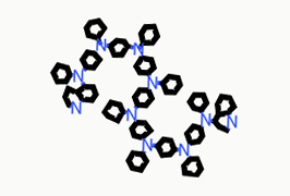 c1ccc(N(c2ccc(N(c3ccccc3)c3ccc(N(c4ccccc4)c4ccc(N(c5ccccc5)c5ccc(N(c6ccccc6)c6ccnc7ccccc67)cc5)cc4)cc3)cc2)c2ccc(N(c3ccccc3)c3ccc(N(c4ccccc4)c4ccc(N(c5ccccc5)c5cccc6ncccc56)cc4)cc3)cc2)cc1